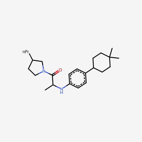 CCCC1CCN(C(=O)C(C)Nc2ccc(C3CCC(C)(C)CC3)cc2)C1